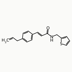 C=CCc1ccc(C=CC(=O)NCc2cccs2)cc1